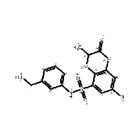 CCc1cccc(NS(=O)(=O)c2cc(Cl)cc3c2OC(C)C(=O)N3)c1